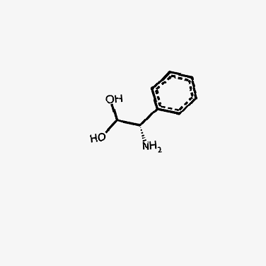 N[C@@H](c1ccccc1)C(O)O